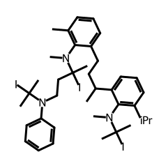 Cc1cccc(CCC(C)c2cccc(C(C)C)c2N(C)C(C)(C)I)c1N(C)C(C)(I)CCN(c1ccccc1)C(C)(C)I